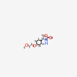 COCCOc1ccc([C@H]2COC(=O)N2)cc1